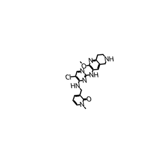 COc1nc2c(cc1Nc1ncc(Cl)c(NCc3cccn(C)c3=O)n1)CNCC2